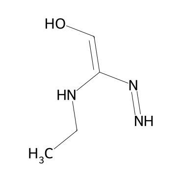 CCN/C(=C\O)N=N